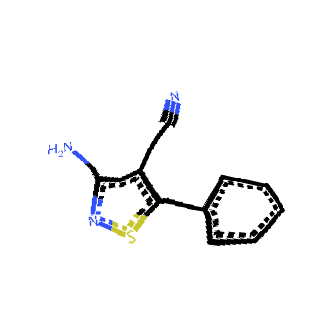 N#Cc1c(N)nsc1-c1ccccc1